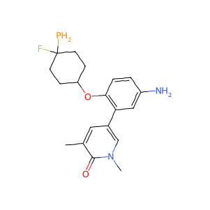 Cc1cc(-c2cc(N)ccc2OC2CCC(F)(P)CC2)cn(C)c1=O